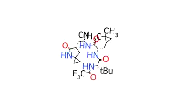 CC1(C)CC1C[C@H](NC(=O)[C@@H](NC(=O)C(F)(F)F)C(C)(C)C)C(=O)N[C@H](C#N)C[C@@H]1CC2(CC2)NC1=O